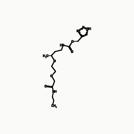 CCCNC(=O)COCCOC(C)CCNC(=O)OCc1c[nH]nn1